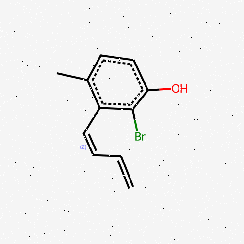 C=C/C=C\c1c(C)ccc(O)c1Br